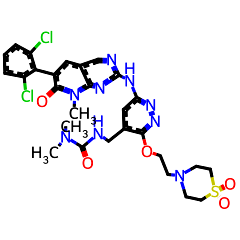 CN(C)C(=O)NCc1cc(Nc2ncc3cc(-c4c(Cl)cccc4Cl)c(=O)n(C)c3n2)nnc1OCCN1CCS(=O)(=O)CC1